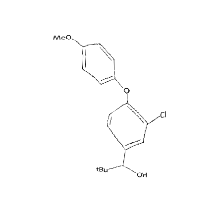 COc1ccc(Oc2ccc(C(O)C(C)(C)C)cc2Cl)cc1